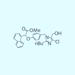 CCCCc1nc(Cl)c(CO)n1Cc1ccc(OC(C(=O)OC)c2cccc3ccccc23)cc1